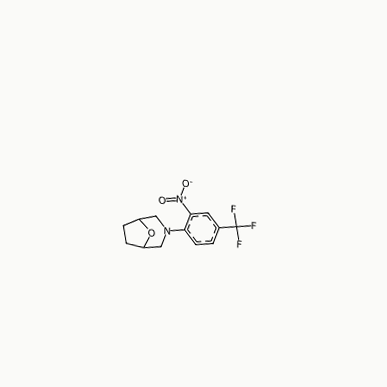 O=[N+]([O-])c1cc(C(F)(F)F)ccc1N1CC2CCC(C1)O2